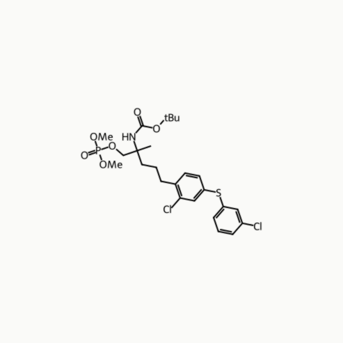 COP(=O)(OC)OCC(C)(CCCc1ccc(Sc2cccc(Cl)c2)cc1Cl)NC(=O)OC(C)(C)C